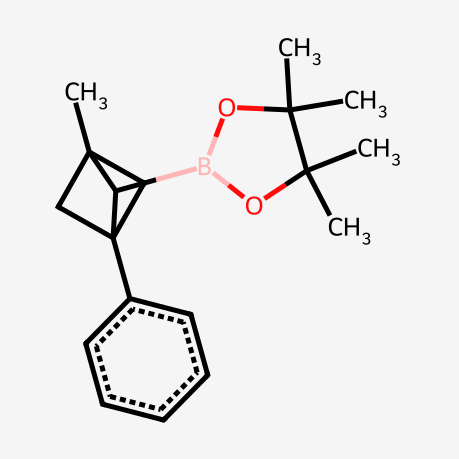 CC12CC(c3ccccc3)(C1)C2B1OC(C)(C)C(C)(C)O1